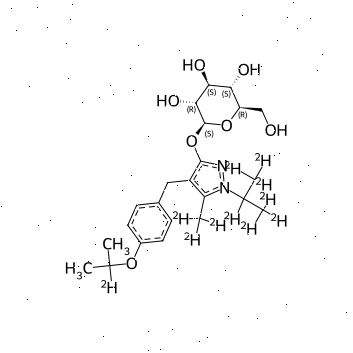 [2H]C(C)(C)Oc1ccc(Cc2c(O[C@@H]3O[C@H](CO)[C@@H](O)[C@H](O)[C@H]3O)nn(C([2H])(C([2H])([2H])[2H])C([2H])([2H])[2H])c2C([2H])([2H])[2H])cc1